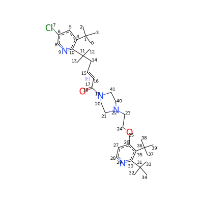 CC(C)(C)c1cc(Cl)cnc1C(C)(C)C/C=C/C(=O)N1CCN(CCOc2ccnc(C(C)(C)C)c2C(C)(C)C)CC1